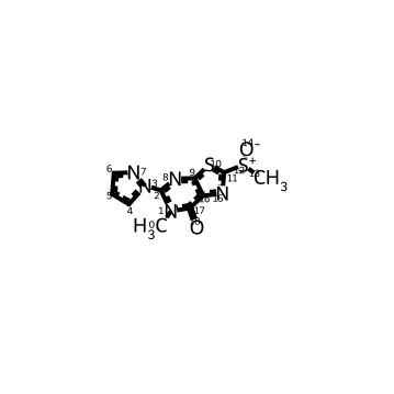 Cn1c(-n2cccn2)nc2sc([S+](C)[O-])nc2c1=O